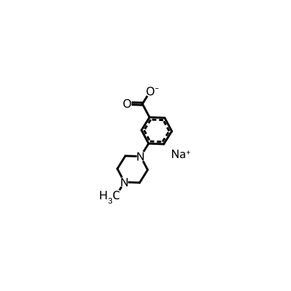 CN1CCN(c2cccc(C(=O)[O-])c2)CC1.[Na+]